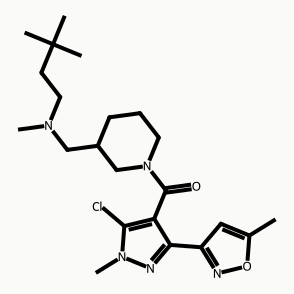 Cc1cc(-c2nn(C)c(Cl)c2C(=O)N2CCCC(CN(C)CCC(C)(C)C)C2)no1